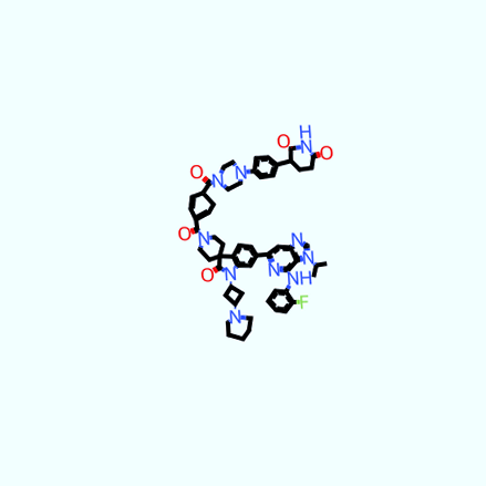 CC(C)n1cnc2cc(-c3ccc4c(c3)N([C@H]3C[C@@H](N5CCCCC5)C3)C(=O)C43CCN(C(=O)C4=CCC(C(=O)N5CCN(c6ccc(C7CCC(=O)NC7=O)cc6)CC5)C=C4)CC3)nc(Nc3ccccc3F)c21